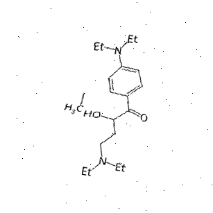 CCN(CC)CCC(O)C(=O)c1ccc(N(CC)CC)cc1.CI